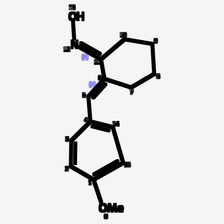 COc1ccc(/C=C2\CCCC\C2=N/O)cc1